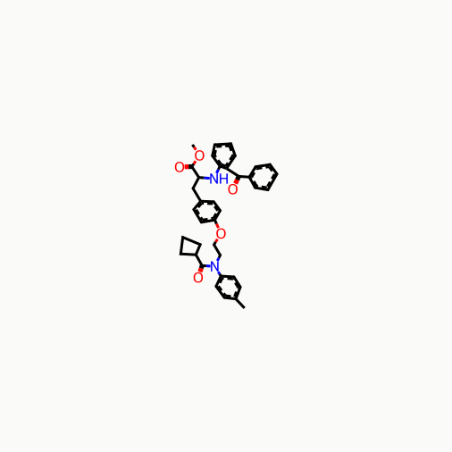 COC(=O)C(Cc1ccc(OCCN(C(=O)C2CCC2)c2ccc(C)cc2)cc1)Nc1ccccc1C(=O)c1ccccc1